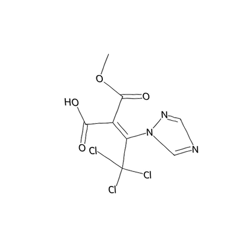 COC(=O)C(C(=O)O)=C(n1cncn1)C(Cl)(Cl)Cl